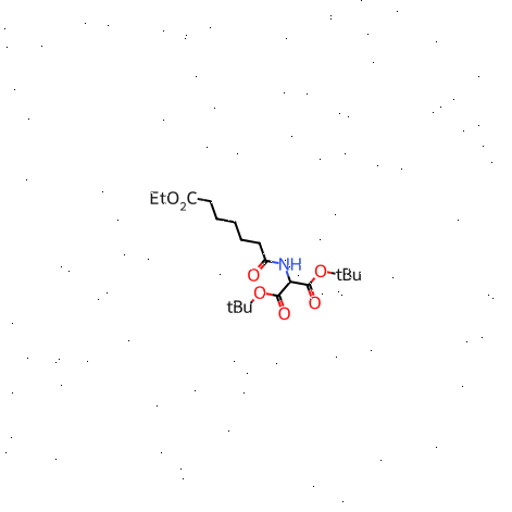 CCOC(=O)CCCCCC(=O)NC(C(=O)OC(C)(C)C)C(=O)OC(C)(C)C